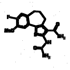 COc1cc2c(cc1F)CCCc1c-2sc(NC(N)=O)c1C(N)=O